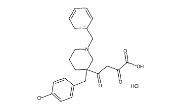 Cl.O=C(O)C(=O)CC(=O)C1(Cc2ccc(Cl)cc2)CCCN(Cc2ccccc2)C1